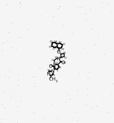 Cc1cn(-c2ccc3n(c2=O)CCN(C2CCC2Oc2cccc4ccccc24)C3=O)cn1